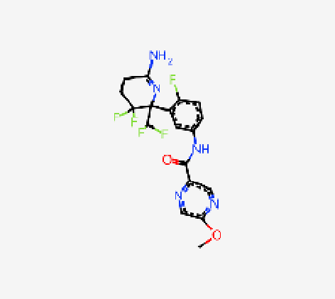 COc1cnc(C(=O)Nc2ccc(F)c(C3(C(F)F)N=C(N)CCC3(F)F)c2)cn1